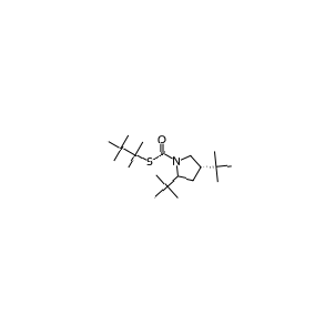 CC(C)(C)C1C[C@@H](C(C)(C)C)CN1C(=O)SC(C)(C)C(C)(C)C